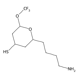 NCCCCC1CC(S)CC(OC(F)(F)F)O1